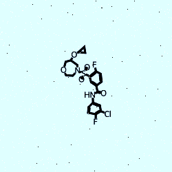 O=C(Nc1ccc(F)c(Cl)c1)c1ccc(F)c(S(=O)(=O)N2CCOCC(OC3CC3)C2)c1